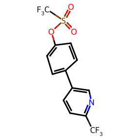 O=S(=O)(Oc1ccc(-c2ccc(C(F)(F)F)nc2)cc1)C(F)(F)F